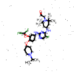 CC(C)N1CCC(Oc2ccc(Nc3ncc(F)c(NC4CC(C)(C)N(CC=O)C(C)(C)C4)n3)cc2OC(F)F)CC1